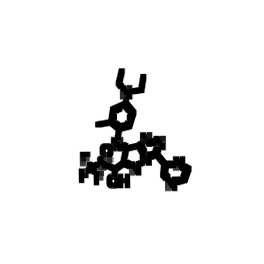 CCN(CC)c1ccc(/N=C2/C(C(O)[S+]([O-])C(F)(F)F)=Nn3c2nnc3-c2cnccn2)c(C)c1